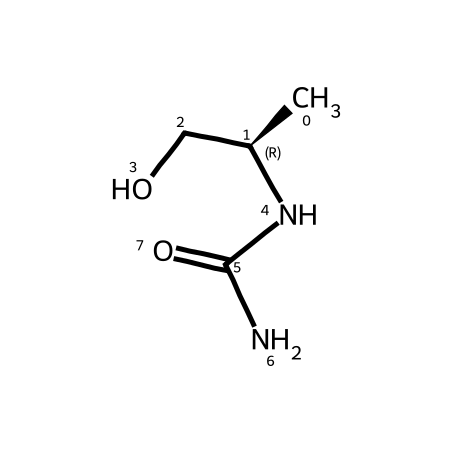 C[C@H](CO)NC(N)=O